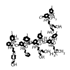 CCN(CC)CCNC(=O)c1cc(Br)ccc1Nc1ccc(I)cc1C.Cc1cc(I)ccc1Nc1ccc(Br)cc1C(=O)NCCN(CCO)CCO.Cc1cc(I)ccc1Nc1ccc(Cl)cc1C(=O)NCCN(CCO)CCO.Cc1cc(I)ccc1Nc1ccc(Cl)cc1C(=O)NCCN1CCCC1.Cc1cc(I)ccc1Nc1ccccc1C(=O)NCCCN1CCN(CCO)CC1